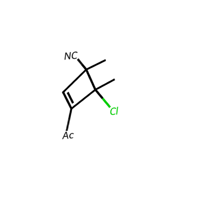 CC(=O)C1=CC(C)(C#N)C1(C)Cl